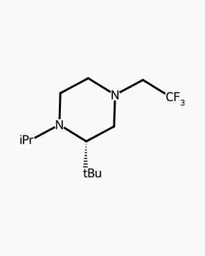 CC(C)N1CCN(CC(F)(F)F)C[C@@H]1C(C)(C)C